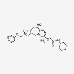 Cl.Nc1c(OCC(=O)NC2CCCCC2)ccc2c1CC(C[C@H](O)COc1ccccc1)CCC2